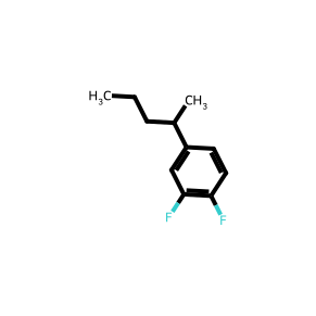 CCCC(C)c1ccc(F)c(F)c1